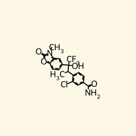 CC(c1ccc(C(N)=O)cc1Cl)C(O)(c1ccc2oc(=O)n(C)c2c1)C(F)(F)F